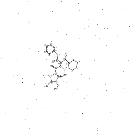 CC(C)CC(C(=O)C1NN(CC(C)C)C(=O)O1)N(C(=O)Cc1ccccc1)C(=O)N1[CH]CCCC1